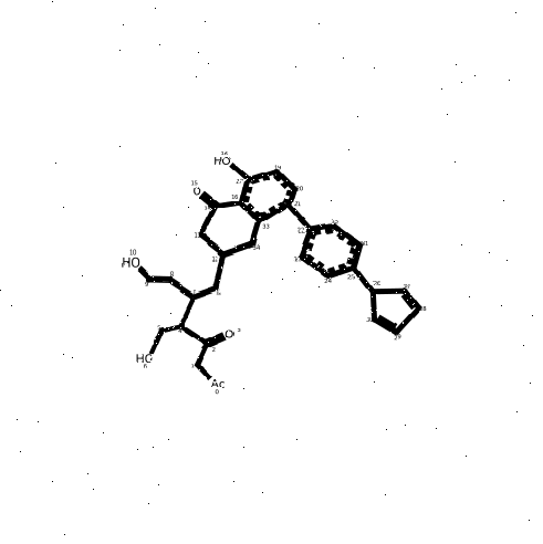 CC(=O)CC(=O)C(CO)C(CCO)CC1CC(=O)c2c(O)ccc(-c3ccc(C4C=CC=C4)cc3)c2C1